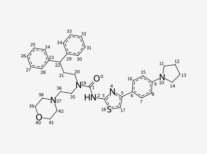 O=C(Nc1nc(-c2ccc(N3CCCC3)cc2)cs1)N(CCC(c1ccccc1)c1ccccc1)CCN1CCOCC1